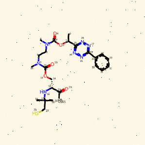 CC(OC(=O)N(C)CCN(C)C(=O)OC[C@@H](NC(C)(C)CS)C(=O)C(C)(C)C)c1nnc(-c2ccccc2)nn1